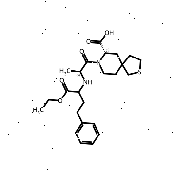 CCOC(=O)C(CCc1ccccc1)N[C@@H](C)C(=O)N1CCC2(CCSC2)C[C@H]1C(=O)O